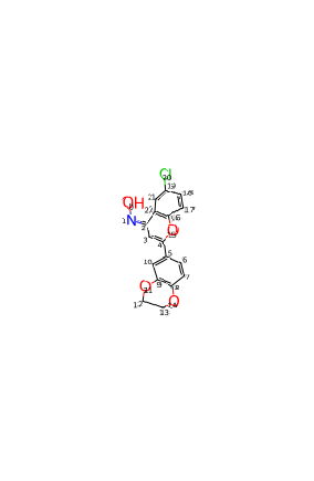 O/N=c1/cc(-c2ccc3c(c2)OCCO3)oc2ccc(Cl)cc12